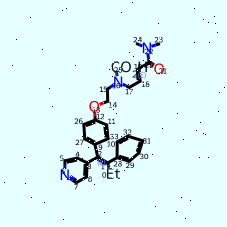 CC/C(=C(\c1ccncc1)c1ccc(OCCN(C/C=C/C(=O)N(C)C)C(=O)O)cc1)c1ccccc1